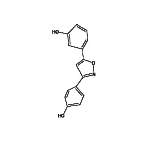 Oc1ccc(-c2cc(-c3cccc(O)c3)on2)cc1